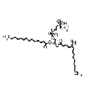 CCCCCCCCCCCCCC(=O)OC[C@H](COP(=O)([O-])OCC[N+](C)(C)C)OC(=O)CCCC1(CCCCCCCCC)N=N1